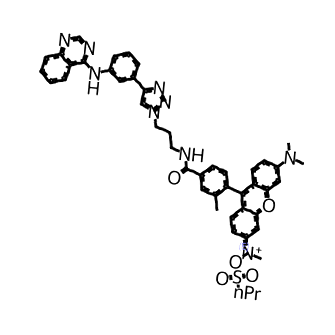 CCCS(=O)(=O)O/[N+](C)=c1\ccc2c(-c3ccc(C(=O)NCCCn4cc(-c5cccc(Nc6ncnc7ccccc67)c5)nn4)cc3C)c3ccc(N(C)C)cc3oc-2c1